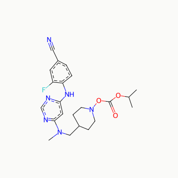 CC(C)OC(=O)ON1CCC(CN(C)c2cc(Nc3ccc(C#N)cc3F)ncn2)CC1